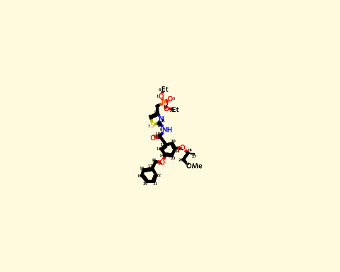 CCOP(=O)(Cc1csc(NC(=O)c2cc(OCc3ccccc3)cc(O[C@@H](C)COC)c2)n1)OCC